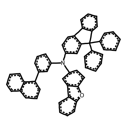 c1ccc(C2(c3ccccc3)c3ccccc3-c3ccc(N(c4cccc(-c5cccc6ccccc56)c4)c4ccc5oc6ccccc6c5c4)cc32)cc1